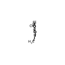 CCCCCCN=Cc1ccc(OCc2ccc(OC(F)(F)F)c(Cl)c2)cc1